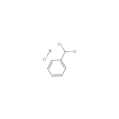 ClC(Cl)c1ccccc1.[Cl][Ti]